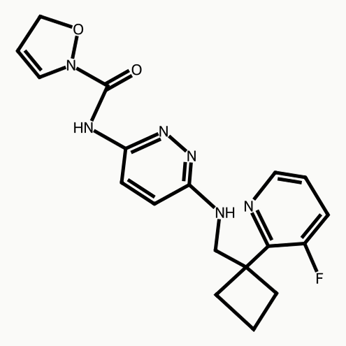 O=C(Nc1ccc(NCC2(c3ncccc3F)CCC2)nn1)N1C=CCO1